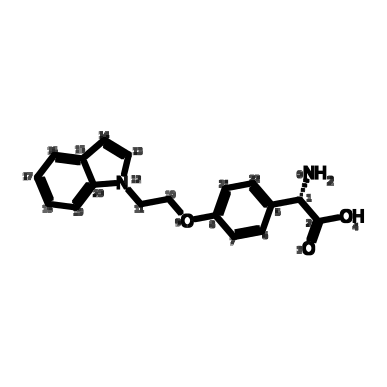 N[C@H](C(=O)O)c1ccc(OCCn2ccc3ccccc32)cc1